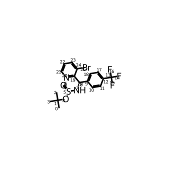 CC(C)(C)OS(=O)N[C@@H](c1ccc(C(F)(F)F)cc1)c1ncccc1Br